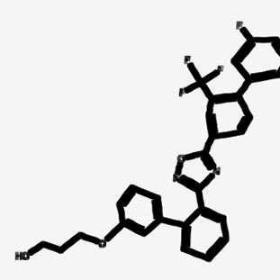 OCCCOc1cccc(-c2ccccc2-c2noc(-c3ccc(-c4cccc(F)c4)c(C(F)(F)F)c3)n2)c1